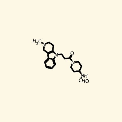 CN1CCc2c(c3ccccc3n2CCC(=O)N2CCC(NC=O)CC2)C1